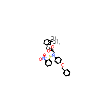 CC12CCC(C1)C(C)(C)C2OC(=O)CN(Sc1ccccc1[N+](=O)[O-])c1ccc(OCc2ccccc2)cc1